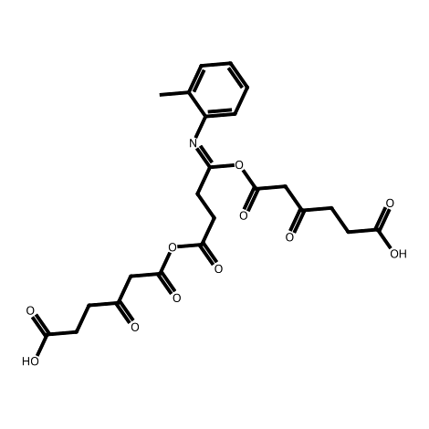 Cc1ccccc1N=C(CCC(=O)OC(=O)CC(=O)CCC(=O)O)OC(=O)CC(=O)CCC(=O)O